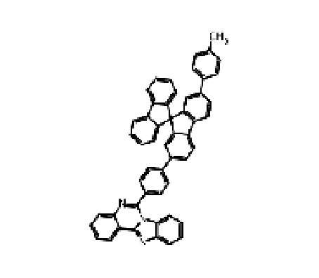 Cc1ccc(-c2ccc3c(c2)C2(c4ccccc4-c4ccccc42)c2cc(-c4ccc(-c5nc6ccccc6c6nc7ccccc7n56)cc4)ccc2-3)cc1